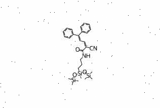 C[Si](C)(C)O[Si](C)(CCCNC(=O)C(C#N)=CC=C(c1ccccc1)c1ccccc1)O[Si](C)(C)C